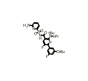 CCCN(c1nc(-c2cc(F)cc(OCC(C)C)c2)c(F)cc1C(=O)NS(=O)(=O)c1cccc(N)n1)C(C)(C)C